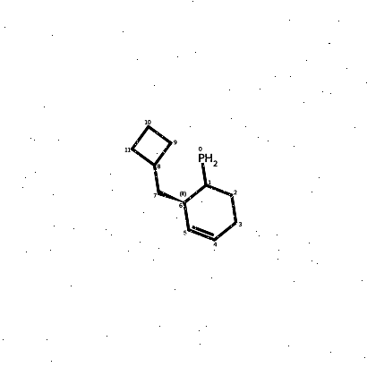 PC1CCC=C[C@H]1CC1CCC1